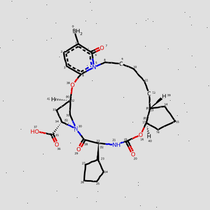 Bc1ccc2n(c1=O)CCCCC[C@@H]1CCC[C@H]1OC(=O)N[C@@H](C1CCCC1)C(=O)N1C[C@@H](C[C@H]1C(=O)O)O2